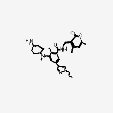 CCCn1cc(-c2cc(C(=O)NCc3c(C)cc(C)[nH]c3=O)c(C)c(N(C)C3CCC(N)CC3)c2)cn1